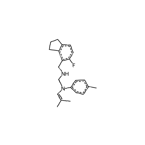 CC(C)=CN(CNCc1c(F)ccc2c1CCC2)c1ccc(C)cc1